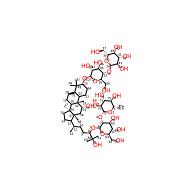 CC[C@@H]1O[C@H](O[C@H]2[C@H](O[C@H](CC[C@@H](C)C3CC[C@@]4(C)C5CC=C6C(CC[C@H](O[C@@H]7O[C@H](CO)[C@@H](O[C@H]8O[C@H](CO)[C@@H](O)[C@H](O)[C@H]8O)[C@H](O)[C@H]7O)C6(C)C)[C@]5(C)[C@H](O)C[C@]34C)C(C)(C)O)O[C@H](CO)[C@@H](O)[C@@H]2O)[C@@H](O)[C@H](O)[C@H]1O